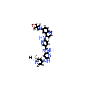 Cc1cc(Nc2cnc3[nH]c(-c4ccc(Nc5ccnc6ccc(N7CC8(COC8)C7)cc56)nc4)nc3c2)ccn1